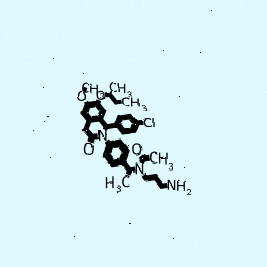 CC[C@@H](C)Oc1cc2c(cc1OC)CC(=O)N(c1ccc(C(C)N(CCCN)C(C)=O)cc1)C2c1ccc(Cl)cc1